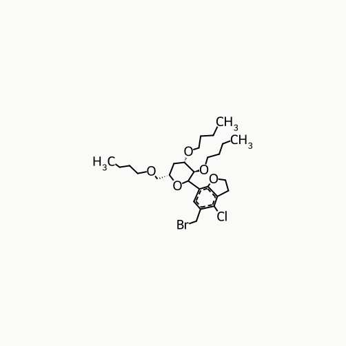 CCCCOC[C@@H]1C[C@H](OCCCC)[C@@H](OCCCC)C(c2cc(CBr)c(Cl)c3c2OCC3)O1